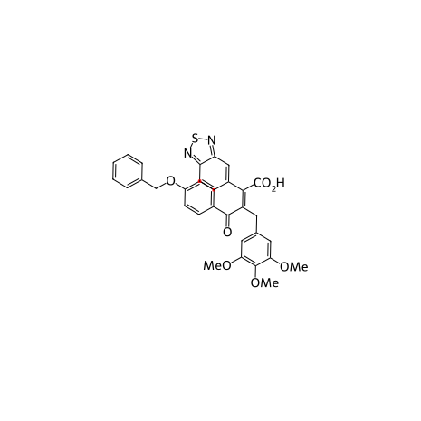 COc1cc(C/C(C(=O)c2ccc(OCc3ccccc3)cc2)=C(\C(=O)O)c2ccc3nsnc3c2)cc(OC)c1OC